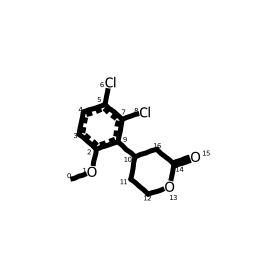 COc1ccc(Cl)c(Cl)c1C1CCOC(=O)C1